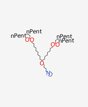 CCCCCC(CCCCC)CC(=O)OCCCCCCCCCC(CCCCCCCOC(=O)CC(CCCCC)CCCCC)OCCCCN1CCCC1